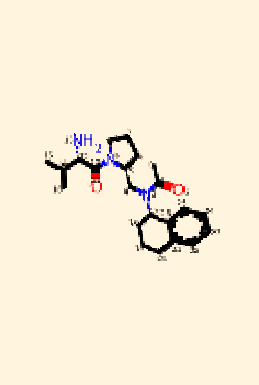 CC(=O)N(C[C@@H]1CCCN1C(=O)[C@@H](N)C(C)C)[C@@H]1CCCc2ccccc21